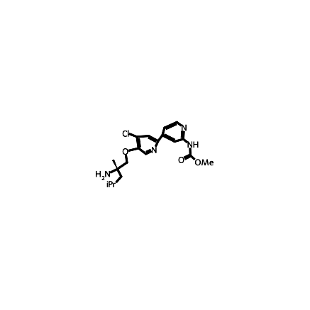 COC(=O)Nc1cc(-c2cc(Cl)c(OC[C@@](C)(N)CC(C)C)cn2)ccn1